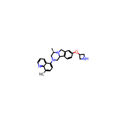 C[C@@H]1CN(c2ccc(C#N)c3ncccc23)CC2c3ccc(OC4CNC4)cc3CN21